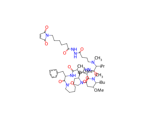 CCC(C)C(C(CC(=O)N1CCC[C@H]1C(OC)C(C)C(=O)NC(Cc1ccccc1)C(=O)N1CCCCO1)OC)N(C)C(=O)C(NC(=O)C(C(C)C)N(C)CCCC(=O)NNC(=O)CCCCCN1C(=O)C=CC1=O)C(C)C